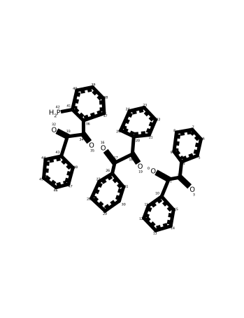 O=C(C(=O)c1ccccc1)c1ccccc1.O=C(C(=O)c1ccccc1)c1ccccc1.O=C(C(=O)c1ccccc1P)c1ccccc1